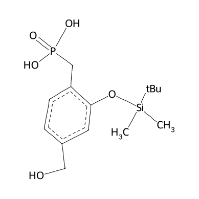 CC(C)(C)[Si](C)(C)Oc1cc(CO)ccc1CP(=O)(O)O